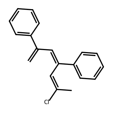 C=C(/C=C(\C=C(/C)Cl)c1ccccc1)c1ccccc1